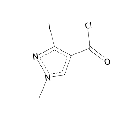 Cn1cc(C(=O)Cl)c(I)n1